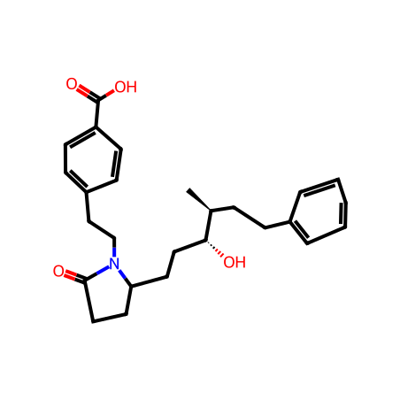 C[C@@H](CCc1ccccc1)[C@H](O)CCC1CCC(=O)N1CCc1ccc(C(=O)O)cc1